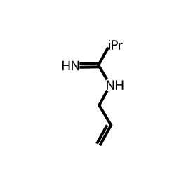 C=CCNC(=N)C(C)C